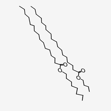 CCCCCCCCCCCCCCCC(=O)OCCCCCCCC.CCCCCCCCCCCCCCCCCC(=O)OCCCC